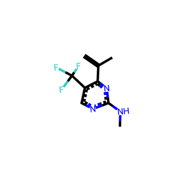 C=C(C)c1nc(NC)ncc1C(F)(F)F